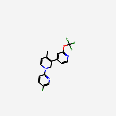 CC1=C(c2ccnc(OC(F)(F)F)c2)CN(c2ccc(F)cn2)C=C1